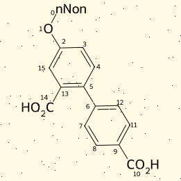 CCCCCCCCCOc1ccc(-c2ccc(C(=O)O)cc2)c(C(=O)O)c1